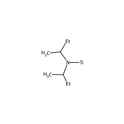 CCC(C)[N]([Ti])C(C)CC